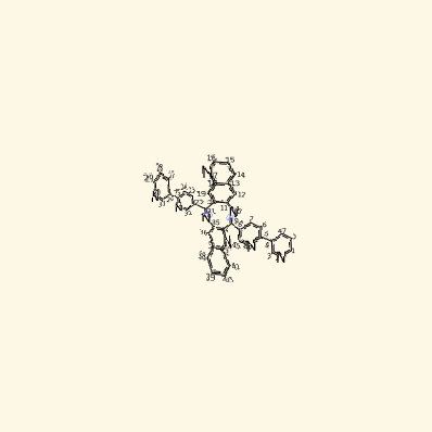 c1cncc(-c2ccc(/C3=N/c4cc5cccnc5cc4/C(c4ccc(-c5cccnc5)nc4)=N\c4cc5ccccc5nc43)cn2)c1